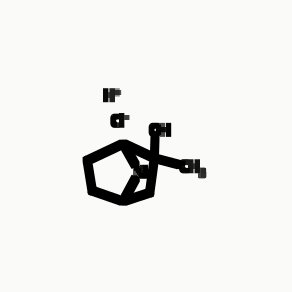 CC1(O)CC2CCC1N2.[Cl-].[H+]